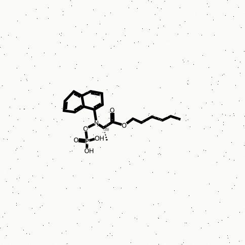 CCCCCCOC(=O)[C@H](C)N(OP(=O)(O)O)c1cccc2ccccc12